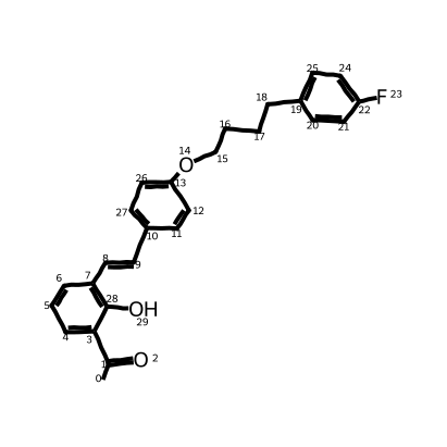 CC(=O)c1cccc(C=Cc2ccc(OCCCCc3ccc(F)cc3)cc2)c1O